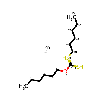 CCCCCCOC(S)=[SH]CCCCCC.[Zn]